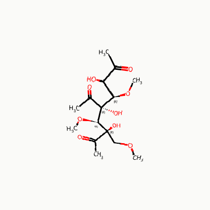 COC[C@](O)(C(C)=O)[C@@H](OC)[C@@](O)(C(C)=O)[C@H](OC)C(O)C(C)=O